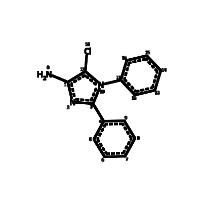 Nc1nc(-c2ccccc2)n(-c2ccccc2)c1Cl